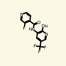 O=C(Nc1cc(C(F)(F)F)cnc1O)c1ccncc1F